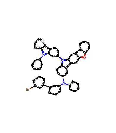 Brc1cccc(-c2cccc(N(c3ccccc3)c3ccc4c(c3)c3cc5oc6ccccc6c5cc3n4-c3ccc4c5ccccc5n(-c5ccccc5)c4c3)c2)c1